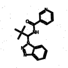 CC(C)(C)C(NC(=O)c1cccnc1)n1nnc2ccccc21